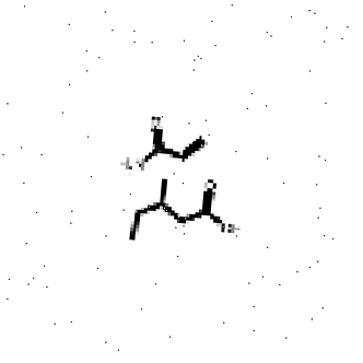 C=CC(N)=O.CCC(C)CC(=O)O